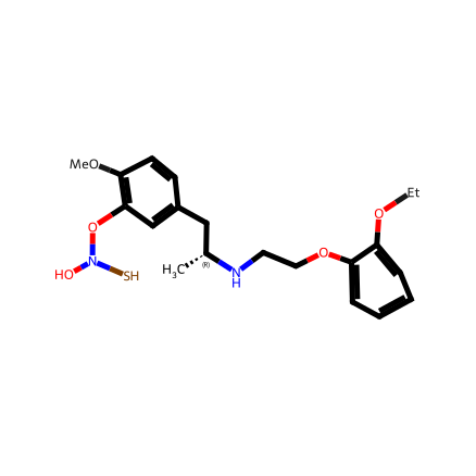 CCOc1ccccc1OCCN[C@H](C)Cc1ccc(OC)c(ON(O)S)c1